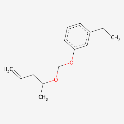 C=CCC(C)OCOc1cccc(CC)c1